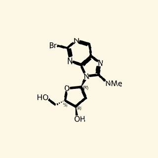 CNc1nc2cnc(Br)nc2n1[C@H]1C[C@@H](O)[C@H](CO)O1